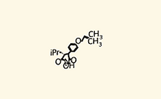 CC(C)=CCOc1ccc(C2C(=O)N(O)C(=O)[C@@H]2CC(C)C)cc1